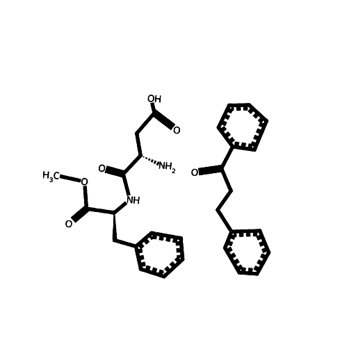 COC(=O)[C@H](Cc1ccccc1)NC(=O)[C@@H](N)CC(=O)O.O=C(CCc1ccccc1)c1ccccc1